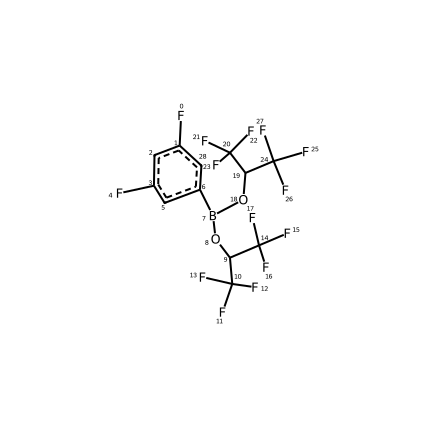 Fc1cc(F)cc(B(OC(C(F)(F)F)C(F)(F)F)OC(C(F)(F)F)C(F)(F)F)c1